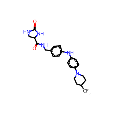 O=C1NCC(C(=O)NCc2ccc(Nc3ccc(N4CCC(C(F)(F)F)CC4)cc3)cc2)N1